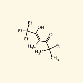 CCC(C)(C)C(=O)/C(C)=C(\O)C(CC)(CC)CC